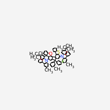 Cc1cccc(C2(c3cccc(F)c3)c3cc(N(c4ccc(C(C)(C)C)cc4)c4ccc(C)cc4-c4ccccc4)c4c(oc5ccccc54)c3-c3c2cc(N(c2ccc(C(C)(C)C)cc2)c2ccc(C)cc2-c2ccccc2)c2sc4ccccc4c32)c1